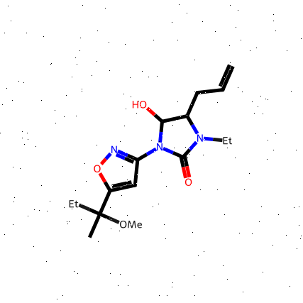 C=CCC1C(O)N(c2cc(C(C)(CC)OC)on2)C(=O)N1CC